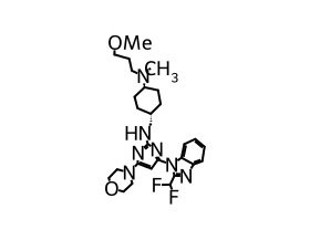 COCCCN(C)[C@H]1CC[C@H](CNc2nc(N3CCOCC3)cc(-n3c(C(F)F)nc4ccccc43)n2)CC1